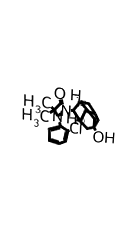 CC1(C)C(=O)N(C2[C@@H]3CC4C[C@H]2CC(O)(C4)C3)N1c1ccccc1Cl